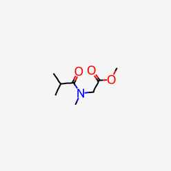 COC(=O)CN(C)C(=O)C(C)C